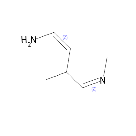 C/N=C\C(C)/C=C\N